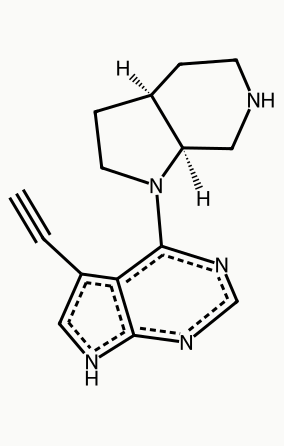 C#Cc1c[nH]c2ncnc(N3CC[C@H]4CCNC[C@H]43)c12